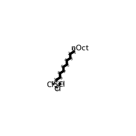 [CH2]CCCCCCCCCCCCCCCCC[Si](Cl)(Cl)Cl